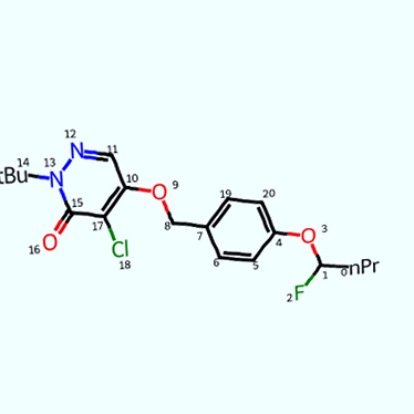 CCCC(F)Oc1ccc(COc2cnn(C(C)(C)C)c(=O)c2Cl)cc1